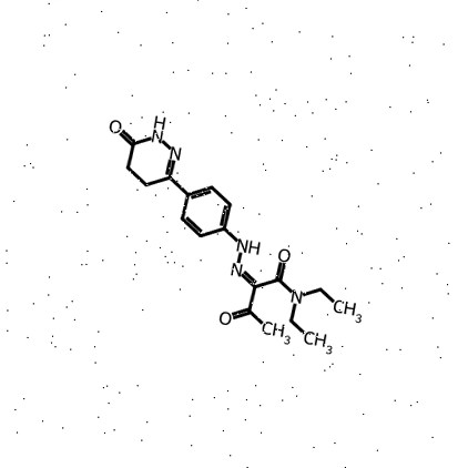 CCN(CC)C(=O)C(=NNc1ccc(C2=NNC(=O)CC2)cc1)C(C)=O